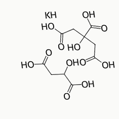 O=C(O)CC(O)(CC(=O)O)C(=O)O.O=C(O)CC(O)C(=O)O.[KH]